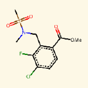 COC(=O)c1ccc(Cl)c(F)c1CN(C)S(C)(=O)=O